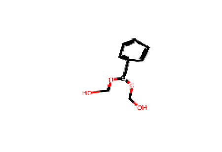 OCOB(OCO)c1ccccc1